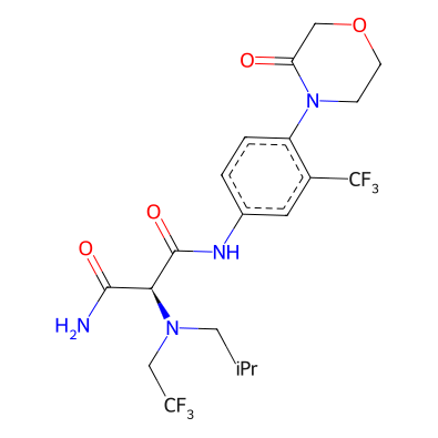 CC(C)CN(CC(F)(F)F)[C@@H](C(N)=O)C(=O)Nc1ccc(N2CCOCC2=O)c(C(F)(F)F)c1